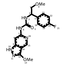 COCC(NC(=O)Nc1cc2[nH]nc(OC)c2cn1)c1ccc(F)cc1